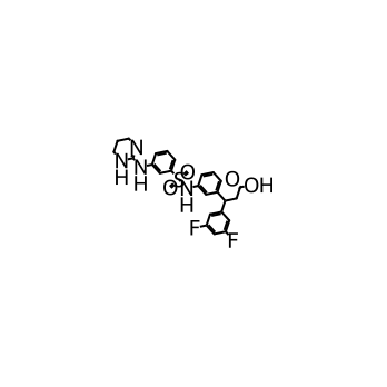 O=C(O)CC(c1cc(F)cc(F)c1)c1cccc(NS(=O)(=O)c2cccc(NC3=NCCCN3)c2)c1